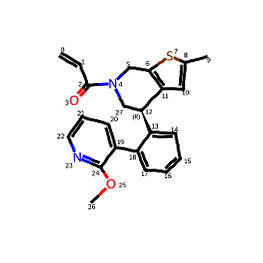 C=CC(=O)N1Cc2sc(C)cc2[C@@H](c2ccccc2-c2cccnc2OC)C1